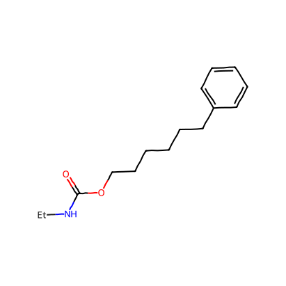 [CH2]CNC(=O)OCCCCCCc1ccccc1